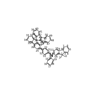 CC1(C)c2ccccc2-c2ccc(N(c3ccccc3)c3ccc(-c4ccc5c(c4)C4(c6ccccc6-5)c5ccccc5-c5c4sc4ccccc54)cc3)cc21